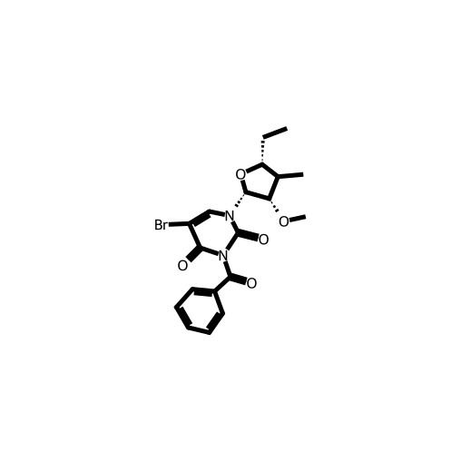 CC[C@H]1O[C@@H](n2cc(Br)c(=O)n(C(=O)c3ccccc3)c2=O)[C@@H](OC)C1C